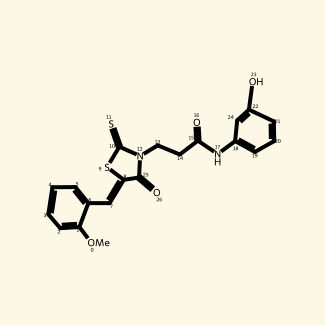 COc1ccccc1/C=C1\SC(=S)N(CCC(=O)Nc2cccc(O)c2)C1=O